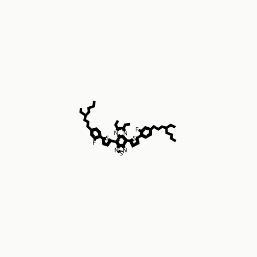 CCCCC(CC)CCCc1ccc(-c2ccc(-c3c4nsnc4c(-c4ccc(-c5ccc(CCCC(CC)CCCC)cc5F)s4)c4nc(CC)c(CC)nc34)s2)c(F)c1